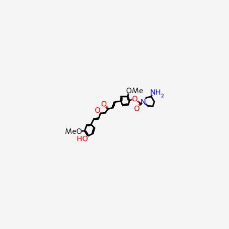 COc1cc(/C=C/C(=O)CC(=O)/C=C/c2ccc(OC(=O)N3CCCC(N)C3)c(OC)c2)ccc1O